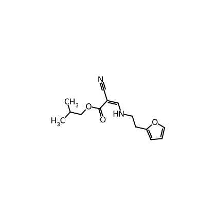 CC(C)COC(=O)C(C#N)=CNCCc1ccco1